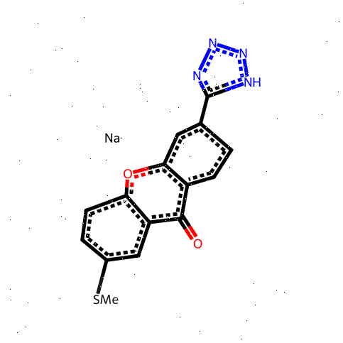 CSc1ccc2oc3cc(-c4nnn[nH]4)ccc3c(=O)c2c1.[Na]